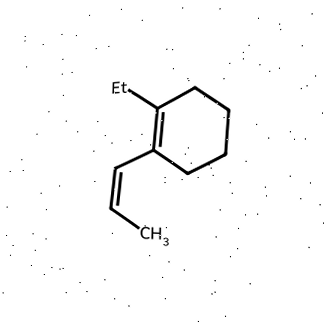 C/C=C\C1=C(CC)CCCC1